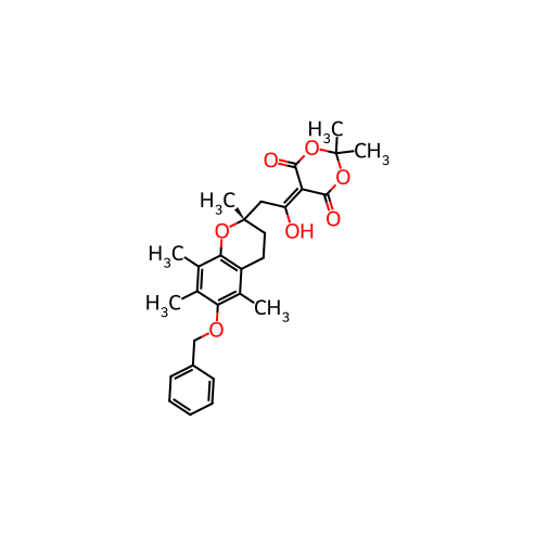 Cc1c(C)c2c(c(C)c1OCc1ccccc1)CC[C@@](C)(CC(O)=C1C(=O)OC(C)(C)OC1=O)O2